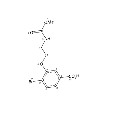 COC(=O)NCCOc1cc(C(=O)O)ccc1Br